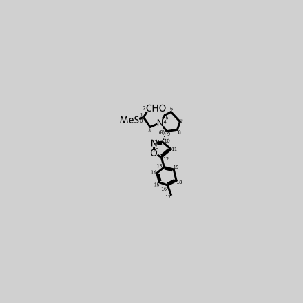 CSC(C=O)CN1CCCC[C@@H]1c1cc(-c2ccc(C)cc2)on1